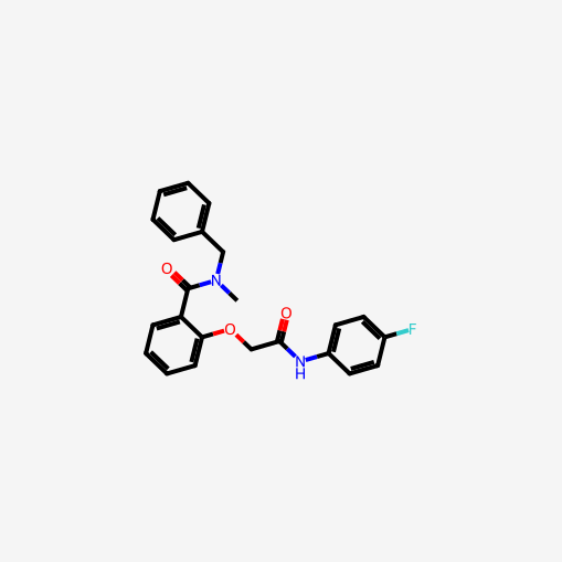 CN(Cc1ccccc1)C(=O)c1ccccc1OCC(=O)Nc1ccc(F)cc1